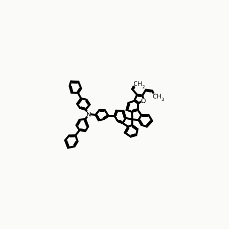 C=Cc1c(/C=C\C)oc2c3c(ccc12)C1(c2ccccc2-c2cc(-c4ccc(N(c5ccc(-c6ccccc6)cc5)c5ccc(-c6ccccc6)cc5)cc4)ccc21)c1ccccc1-3